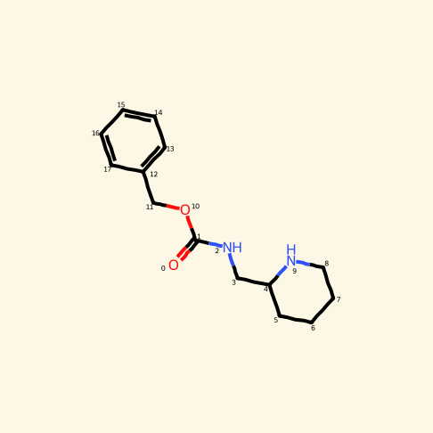 O=C(NCC1CCCCN1)OCc1ccccc1